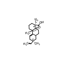 C=C[C@@]1(C)CC=C2C(CC[C@@H]3[C@](C)(C(=O)O)CCC[C@@]23C)C1